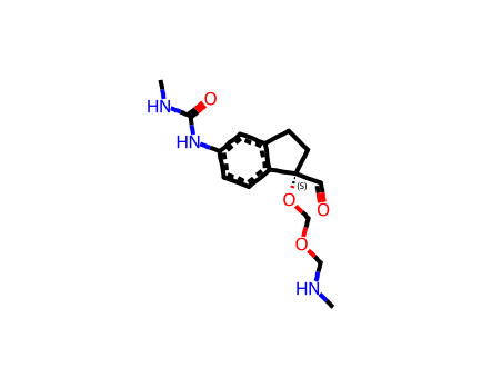 CNCOCO[C@@]1(C=O)CCc2cc(NC(=O)NC)ccc21